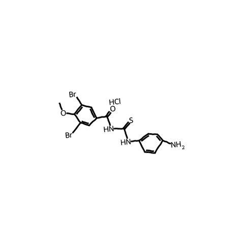 COc1c(Br)cc(C(=O)NC(=S)Nc2ccc(N)cc2)cc1Br.Cl